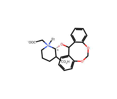 CC[N+]1(CC(=O)[O-])CCCC(C(=O)O)[C@H]1OC1c2ccccc2OCOc2ccccc21